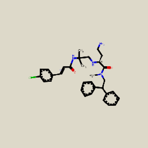 CN(CC(c1ccccc1)c1ccccc1)C(=O)[C@H](CCN)NCC(C)(C)NC(=O)/C=C/c1ccc(Cl)cc1